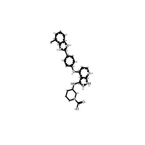 CCC(=O)N1CCCC(Nc2n[nH]c3nccc(Oc4ccc(-c5nc6cccc(C)c6o5)cc4)c23)C1